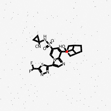 N#CC1(NS(=O)(=O)c2cc(N3CC4CCC(C3)C4CO)c3ncc(-c4nnc(C(F)F)s4)n3c2)CC1